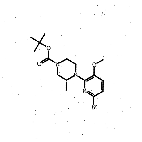 COc1ccc(Br)nc1N1CCN(C(=O)OC(C)(C)C)CC1C